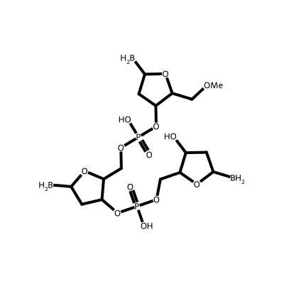 BC1CC(O)C(COP(=O)(O)OC2CC(B)OC2COP(=O)(O)OC2CC(B)OC2COC)O1